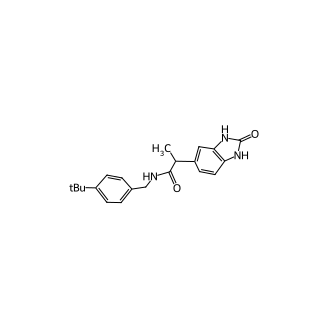 CC(C(=O)NCc1ccc(C(C)(C)C)cc1)c1ccc2[nH]c(=O)[nH]c2c1